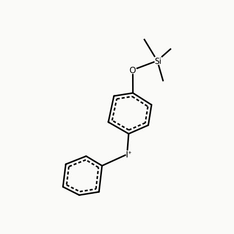 C[Si](C)(C)Oc1ccc([I+]c2ccccc2)cc1